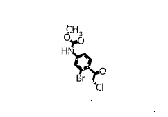 COC(=O)Nc1ccc(C(=O)CCl)c(Br)c1